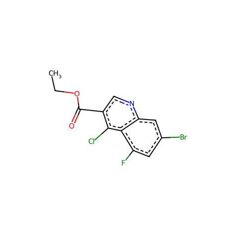 CCOC(=O)c1cnc2cc(Br)cc(F)c2c1Cl